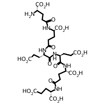 N[C@@H](CCC(=O)N[C@@H](CCC(=O)N[C@@H](CCC(=O)O)C(=O)N[C@@H](CCC(=O)O)C(=O)N[C@@H](CCC(=O)N[C@@H](CCC(=O)O)C(=O)O)C(=O)O)C(=O)O)C(=O)O